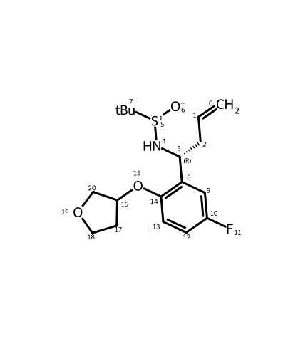 C=CC[C@@H](N[S+]([O-])C(C)(C)C)c1cc(F)ccc1OC1CCOC1